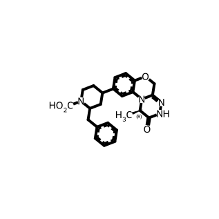 C[C@@H]1C(=O)NN=C2COc3ccc(C4CCN(C(=O)O)C(Cc5ccccc5)C4)cc3N21